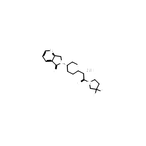 N[C@H](C(=O)N1CCC(F)(F)C1)[C@H]1CC[C@H](N2Cc3ncccc3C2=O)CC1